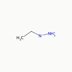 CC[N-][NH3+]